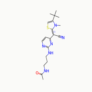 CC(=O)NCCCNc1nccc(/C(C#N)=C2\SC=C(C(C)(C)C)N2C)n1